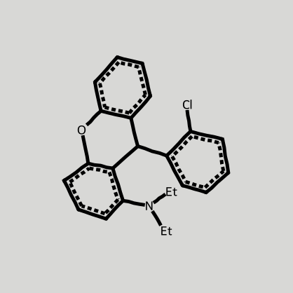 CCN(CC)c1cccc2c1C(c1ccccc1Cl)c1ccccc1O2